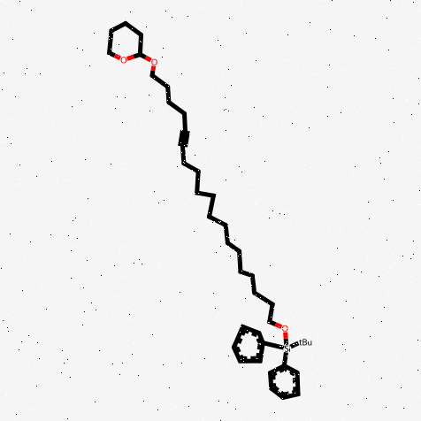 CC(C)(C)[Si](OCCCCCCCCCCCCCC#CCCCCOC1CCCCO1)(c1ccccc1)c1ccccc1